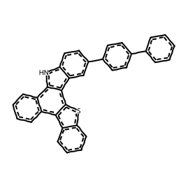 c1ccc(-c2ccc(-c3ccc4[nH]c5c6ccccc6c6c7ccccc7sc6c5c4c3)cc2)cc1